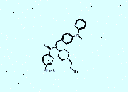 CCCCCc1ccc(C(=O)N(Cc2ccc(N(C)c3ccccn3)cc2)C2CCN(CCC(C)C)CC2)nc1